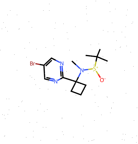 CN([S+]([O-])C(C)(C)C)C1(c2ncc(Br)cn2)CCC1